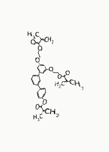 C=C(C)C(=O)OCCOc1cc(OCCOC(=O)C(=C)C)cc(-c2cccc(-c3ccc(OC(=O)C(=C)C)cc3)c2)c1